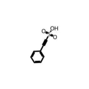 O=S(=O)(O)C#Cc1ccccc1